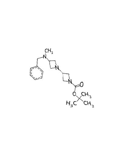 CN(Cc1ccccc1)C1CN(C2CN(C(=O)OC(C)(C)C)C2)C1